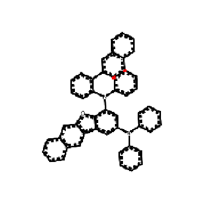 c1ccc(N(c2ccccc2)c2cc(N(c3ccccc3)c3ccccc3-c3ccc4ccccc4c3)c3oc4cc5ccccc5cc4c3c2)cc1